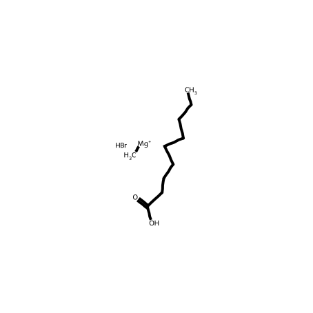 Br.CCCCCCCCC(=O)O.[CH3][Mg+]